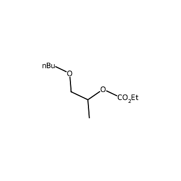 CCCCOCC(C)OC(=O)OCC